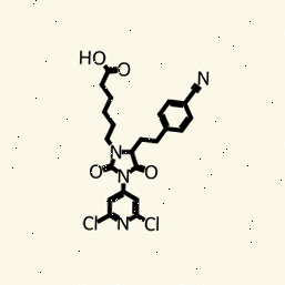 N#Cc1ccc(CCC2C(=O)N(c3cc(Cl)nc(Cl)c3)C(=O)N2CCCCCC(=O)O)cc1